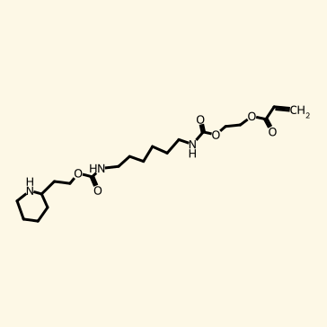 C=CC(=O)OCCOC(=O)NCCCCCCNC(=O)OCCC1CCCCN1